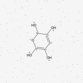 OC1=[C]C(O)=C(O)OC1O